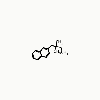 CCC(C)(C)Cc1[c]c2ccccc2cc1